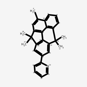 Cc1cc2c3c4c(cccc14)C(C)(C)c1cc(-c4ccccn4)cc(c1-3)C2(C)C